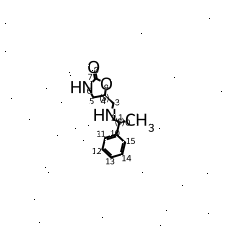 C[C@H](NC[C@H]1CNC(=O)O1)c1ccccc1